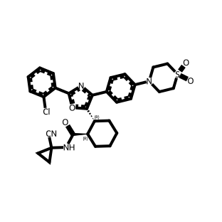 N#CC1(NC(=O)[C@@H]2CCCC[C@H]2c2oc(-c3ccccc3Cl)nc2-c2ccc(N3CCS(=O)(=O)CC3)cc2)CC1